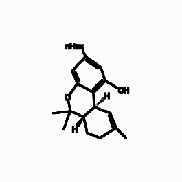 CCCCCCc1cc(O)c2c(c1)OC(C)(C)[C@H]1CCC(C)=C[C@H]21